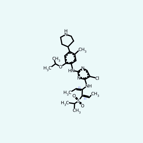 C/C=C(Nc1nc(Nc2cc(C)c(C3CCNCC3)cc2OC(C)C)ncc1Cl)\C(=C/C)S(=O)(=O)C(C)C